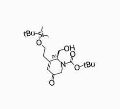 CC(C)(C)OC(=O)N1CC(=O)C=C(CCO[Si](C)(C)C(C)(C)C)[C@H]1CO